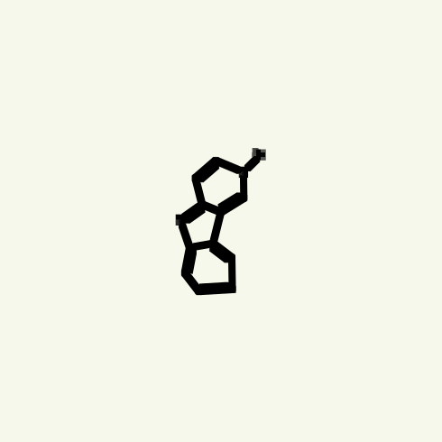 [2H]n1ccc2nc3ccccc3c-2c1